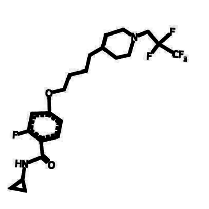 O=C(NC1CC1)c1ccc(OCCCCC2CCN(CC(F)(F)C(F)(F)F)CC2)cc1F